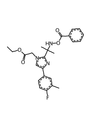 CCOC(=O)Cn1cc(-c2ccc(F)c(C)c2)nc1C(C)(C)NOC(=O)c1ccccc1